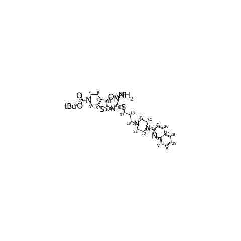 CC(C)(C)OC(=O)N1CCc2c(sc3c2ON(N)C(SCCCN2CCN(c4ccc5ccccc5n4)CC2)=N3)C1